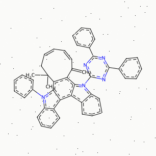 C=C1/C=C\C=C/CC(C)(C)c2c1c1c(c3ccccc3n1-c1nc(-c3ccccc3)nc(-c3ccccc3)n1)c1c3ccccc3n(-c3ccccc3)c21